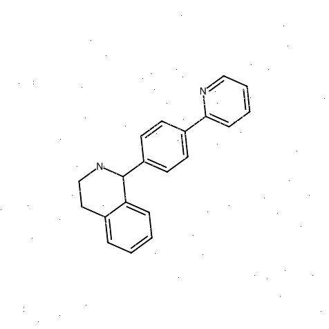 c1ccc(-c2ccc(C3[N]CCc4ccccc43)cc2)nc1